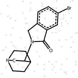 O=C1c2cc(Br)ccc2CN1C1CN2CCC1CC2